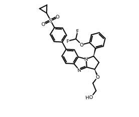 O=S(=O)(c1ccc(-c2ccc3nc4n(c3c2)[C@@H](c2ccccc2OC(F)F)C[C@H]4OCCO)cc1)C1CC1